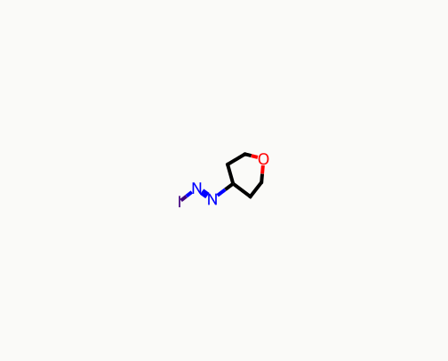 IN=NC1CCOCC1